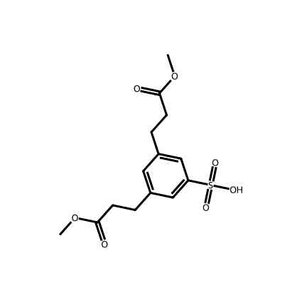 COC(=O)CCc1cc(CCC(=O)OC)cc(S(=O)(=O)O)c1